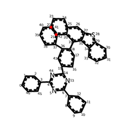 c1ccc(-c2nc(-c3ccccc3)nc(-c3ccc(-c4c5ccccc5cc5sc6ccccc6c45)c(-c4ccccc4)c3)n2)cc1